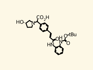 CC(C)(C)OC(=O)Nc1ccccc1NC(=O)C=Cc1ccc(C(C(=O)O)N2CC[C@H](O)C2)cc1